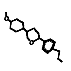 CCCc1ccc(C2CCC(C3CCC(OC)CC3)CO2)cc1